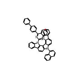 c1ccc(-c2ccc(-c3nc(-n4c5ccccc5c5ccc6c(c7c8oc9ccccc9c8ccc7n6-c6cccc7ccccc67)c54)nc4ccccc34)cc2)cc1